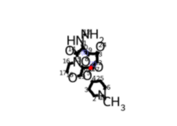 CN1CCC(OC(=O)O/C2=C(/NN)C(=O)N3CCOCC3/C=C\C2=O)CC1